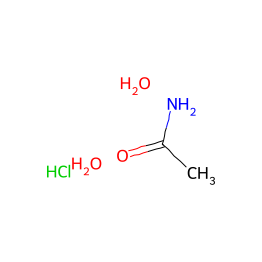 CC(N)=O.Cl.O.O